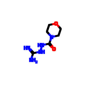 N=C(N)NNC(=O)N1CCOCC1